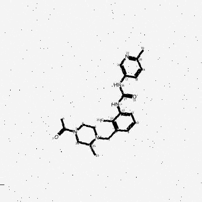 CC(=O)N1CCN(Cc2cccc(NC(=O)Nc3ccc(C)nc3)c2F)C(C)C1